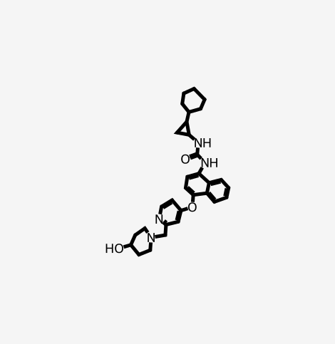 O=C(Nc1ccc(Oc2ccnc(CN3CCC(O)CC3)c2)c2ccccc12)NC1CC1C1CCCCC1